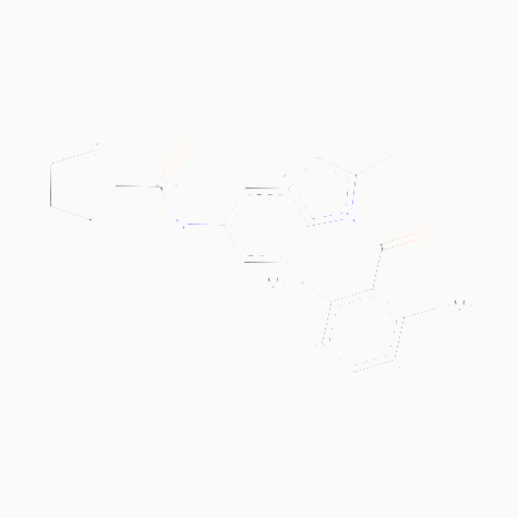 COc1cccc(OC)c1C(=O)n1c(C)cc2cc(NC(=O)C3CCCC3)ccc21